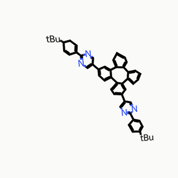 CC(C)(C)c1ccc(-c2ncc(-c3ccc4c(c3)-c3ccccc3-c3ccccc3-c3cc(-c5cnc(C6=CCC(C(C)(C)C)C=C6)nc5)ccc3-4)cn2)cc1